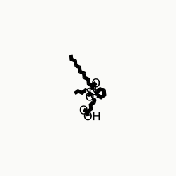 CCCCCCCCCCC(=O)N(c1ccccc1SCCCC(=O)O)[S+]([O-])CCCC